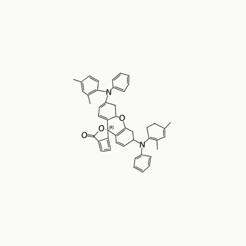 CC1=CC(C)=C(N(c2ccccc2)C2C=CC3=C(C2)OC2CC(N(c4ccccc4)c4ccc(C)cc4C)=CC=C2[C@@]32OC(=O)c3ccccc32)CC1